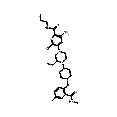 CC[C@H]1CN(c2nc(N)c(C(=O)NCCO)nc2Cl)CCN1C1CCN(Cc2ccc(Cl)cc2C(=N)NC)CC1